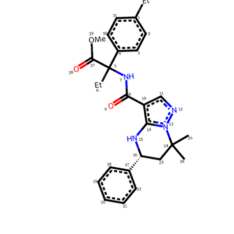 CCc1ccc(C(CC)(NC(=O)c2cnn3c2N[C@@H](c2ccccc2)CC3(C)C)C(=O)OC)cc1